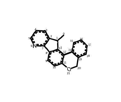 CC1c2cccnc2-c2ccc3c(c21)-c1ccccc1CO3